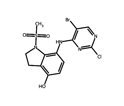 CS(=O)(=O)N1CCc2c(O)ccc(Nc3nc(Cl)ncc3Br)c21